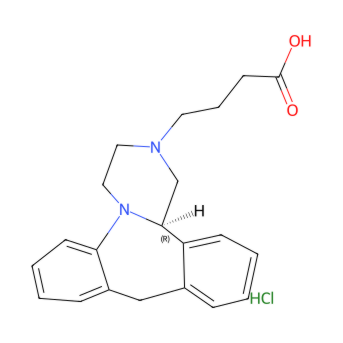 Cl.O=C(O)CCCN1CCN2c3ccccc3Cc3ccccc3[C@@H]2C1